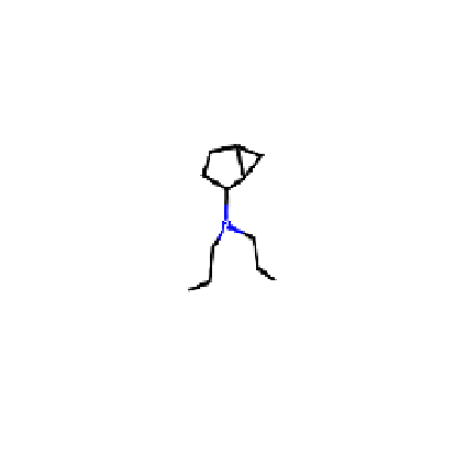 CCCN(CCC)C1CCC2CC21